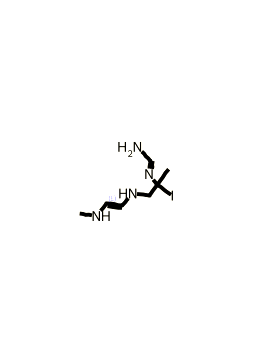 CN/C=C/NCC(C)(I)N=CN